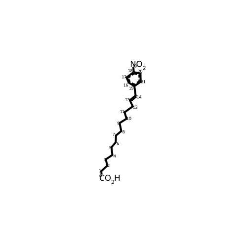 O=C(O)CCCCCCCCCCCCC=Cc1ccc([N+](=O)[O-])cc1